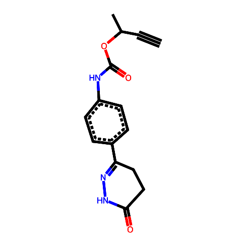 C#CC(C)OC(=O)Nc1ccc(C2=NNC(=O)CC2)cc1